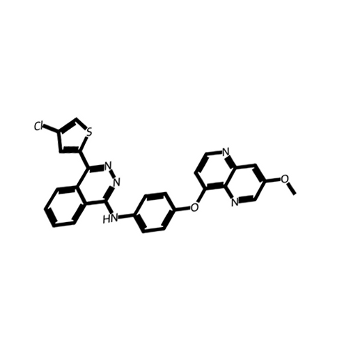 COc1cnc2c(Oc3ccc(Nc4nnc(-c5cc(Cl)cs5)c5ccccc45)cc3)ccnc2c1